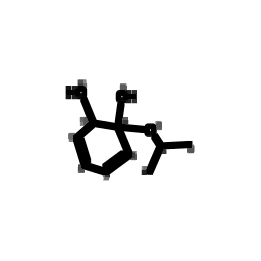 CC(C)OC1(O)C=CC=CC1O